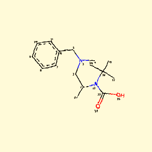 CC(CN(C)Cc1ccccc1)N(C(=O)O)C(C)(C)C